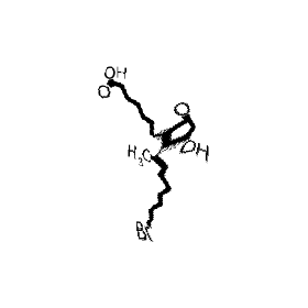 CC(=CCCCCCCBr)[C@H]1[C@H](O)CC(=O)[C@@H]1CCCCCCC(=O)O